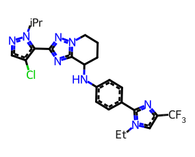 CCn1cc(C(F)(F)F)nc1-c1ccc(NC2CCCn3nc(-c4c(Cl)cnn4C(C)C)nc32)cc1